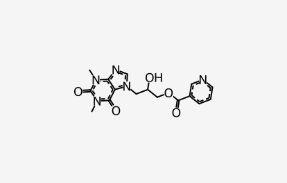 Cn1c(=O)c2c(ncn2CC(O)COC(=O)c2cccnc2)n(C)c1=O